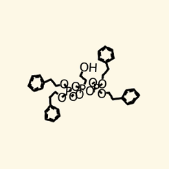 O=P(CCO)(OP(=O)(OCCc1ccccc1)OCCc1ccccc1)OP(=O)(OCCc1ccccc1)OCCc1ccccc1